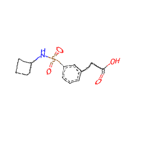 O=C(O)Cc1cccc(S(=O)(=O)NC2CCC2)c1